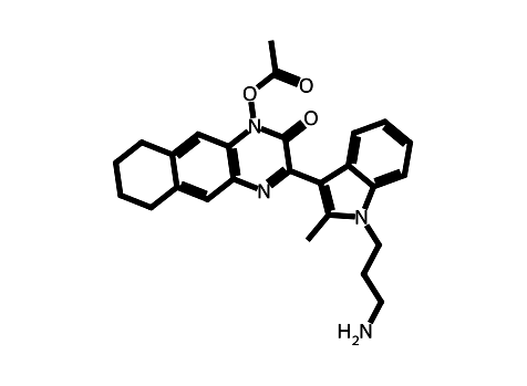 CC(=O)On1c(=O)c(-c2c(C)n(CCCN)c3ccccc23)nc2cc3c(cc21)CCCC3